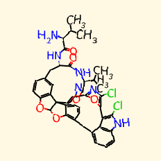 CC(C)[C@H](N)C(=O)N[C@H]1Cc2ccc3c(c2)C24c5cccc(c5OC2O3)-c2cccc3[nH]c(Cl)c(c23)-c2oc(nc2Cl)-c2nc(oc24)[C@H](C(C)C)NC1=O